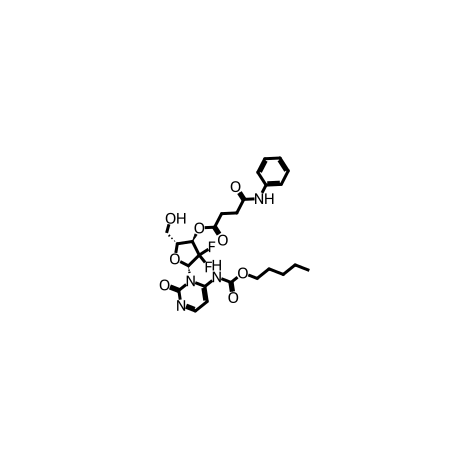 CCCCCOC(=O)Nc1ccnc(=O)n1[C@@H]1O[C@H](CO)[C@@H](OC(=O)CCC(=O)Nc2ccccc2)C1(F)F